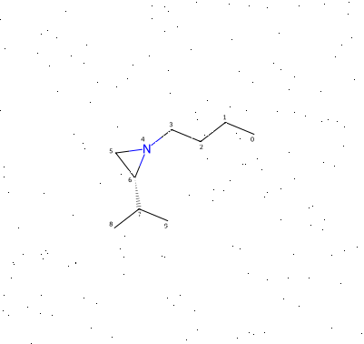 CCCCN1C[C@H]1C(C)C